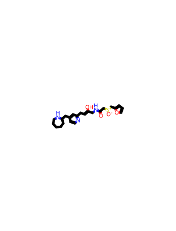 O=C(C[S+]([O-])Cc1ccco1)NC/C(O)=C/Cc1cc(CC2CCCCCN2)ccn1